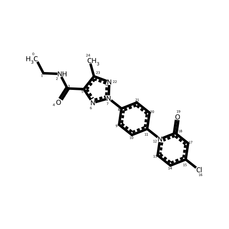 CCNC(=O)c1nn(-c2ccc(-n3ccc(Cl)cc3=O)cc2)nc1C